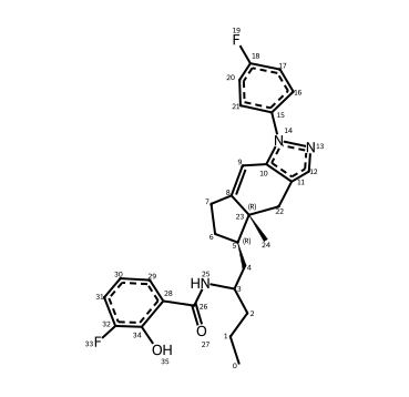 CCCC(C[C@H]1CCC2=Cc3c(cnn3-c3ccc(F)cc3)C[C@@]21C)NC(=O)c1cccc(F)c1O